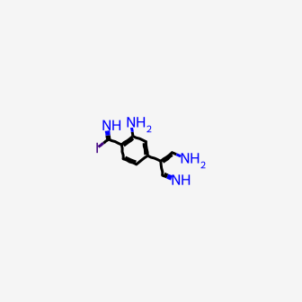 N=C/C(=C\N)c1ccc(C(=N)I)c(N)c1